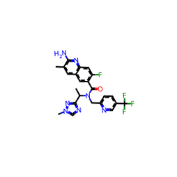 Cc1cc2cc(C(=O)N(Cc3ccc(C(F)(F)F)cn3)C(C)c3ncn(C)n3)c(F)cc2nc1N